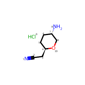 Cl.N#CC[C@H]1CC[C@H](N)CO1